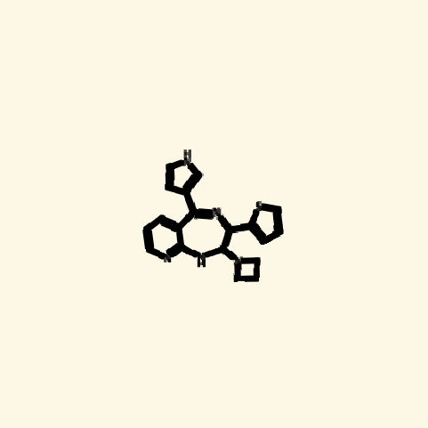 c1csc(C2N=C(c3cc[nH]c3)c3cccnc3NC2N2CCC2)c1